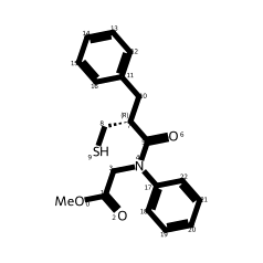 COC(=O)CN(C(=O)[C@H](CS)Cc1ccccc1)c1ccccc1